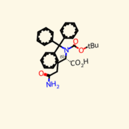 CC(C)(C)OC(=O)N([C@@H](CCC(N)=O)C(=O)O)C(c1ccccc1)(c1ccccc1)c1ccccc1